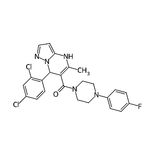 CC1=C(C(=O)N2CCN(c3ccc(F)cc3)CC2)C(c2ccc(Cl)cc2Cl)n2nccc2N1